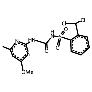 COc1cc(C)nc(NC(=O)NS(=O)(=O)c2ccccc2C(Cl)Cl)n1